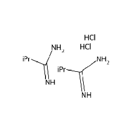 CC(C)C(=N)N.CC(C)C(=N)N.Cl.Cl